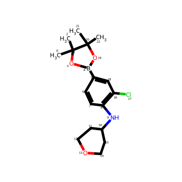 CC1(C)OB(c2ccc(NC3CCOCC3)c(Cl)c2)OC1(C)C